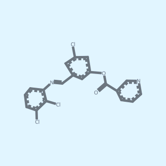 O=C(Oc1cc(Cl)cc(C=Nc2cccc(Cl)c2Cl)c1)c1cccnc1